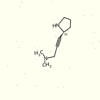 CN(C)CC#C[C@@H]1CCCN1